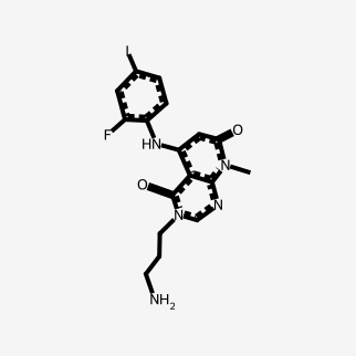 Cn1c(=O)cc(Nc2ccc(I)cc2F)c2c(=O)n(CCCN)cnc21